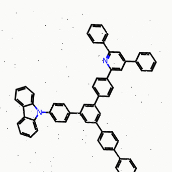 c1ccc(-c2ccc(-c3cc(-c4ccc(-c5cc(-c6ccccc6)cc(-c6ccccc6)n5)cc4)cc(-c4ccc(-n5c6ccccc6c6ccccc65)cc4)c3)cc2)cc1